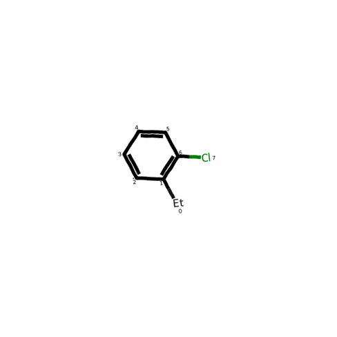 CCc1[c][c]ccc1Cl